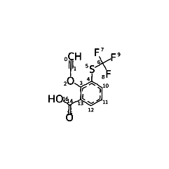 C#COc1c(SC(F)(F)F)cccc1C(=O)O